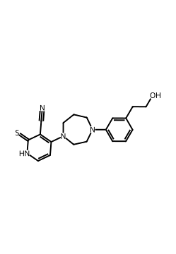 N#Cc1c(N2CCCN(c3cccc(CCO)c3)CC2)cc[nH]c1=S